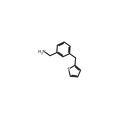 NCc1[c]ccc(Cc2cccs2)c1